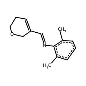 Cc1cccc(C)c1N=CC1=CCCOC1